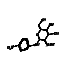 CC(=O)NC1C(Nc2ccc([N+](=O)[O-])cc2)OC(CO)C(O)C1O